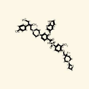 C/C(CN1CCN(c2ccc(C(=O)NS(=O)(=O)c3ccc(OCC4(F)CCN(C5CCO5)CC4)c([N+](=O)[O-])c3)c(Oc3cnc4[nH]ccc4c3)c2)CC1)=C(\CC(C)C)c1ccc(Cl)cc1